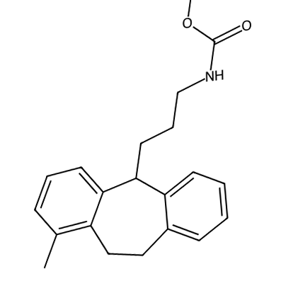 Cc1cccc2c1CCc1ccccc1C2CCCNC(=O)OC(C)C